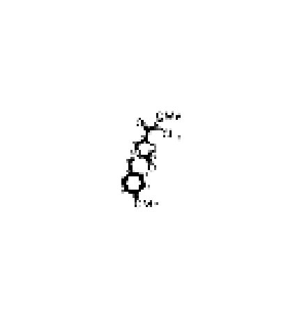 COc1ccc(CN2CC(C(=O)N(C)OC)OC2=O)cc1